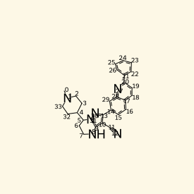 CN1CCC(C2CCNc3c(C#N)c(-c4ccc5ccc(-c6ccccc6)nc5c4)nn32)CC1